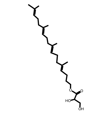 CC(C)=CCC/C(C)=C/CC/C(C)=C/CC/C(C)=C/CCCOC(=O)C(O)CO